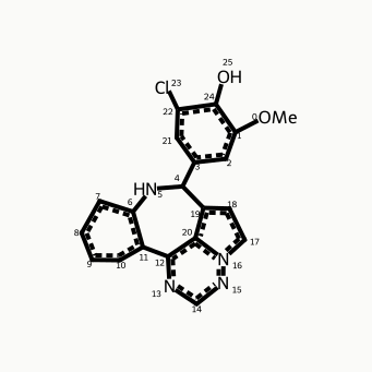 COc1cc(C2Nc3ccccc3-c3ncnn4ccc2c34)cc(Cl)c1O